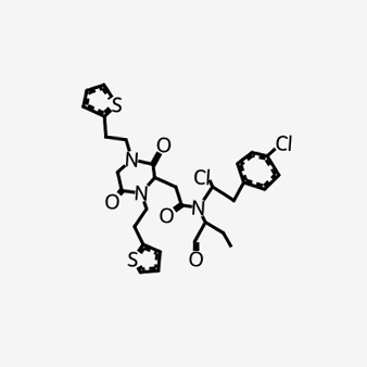 CCC(C=O)N(C(=O)CC1C(=O)N(CCc2cccs2)CC(=O)N1CCc1cccs1)C(Cl)Cc1ccc(Cl)cc1